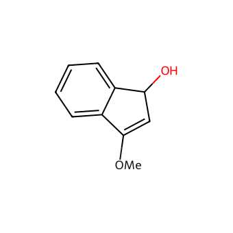 COC1=CC(O)c2ccccc21